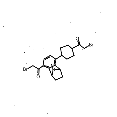 CN1C2CCC1c1c(C3CCC(C(=O)CBr)CC3)ccc(C(=O)CBr)c12